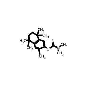 Cc1cc2c(cc1OC(=S)N(C)C)C(C)(C)CCC2(C)C